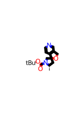 C[C@H]1CC2(CN1C(=O)OC(C)(C)C)OCc1cnccc12